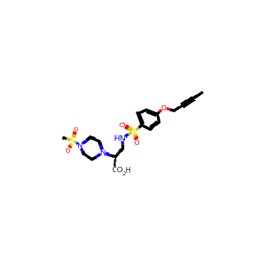 CC#CCOc1ccc(S(=O)(=O)NC[C@@H](C(=O)O)N2CCN(S(C)(=O)=O)CC2)cc1